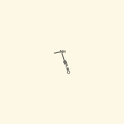 CNC#P=O